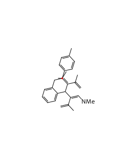 C=C(C)C(=C(C)C)C(/C(=C/NC)C(=C)C)c1ccccc1CCc1ccc(C)cc1